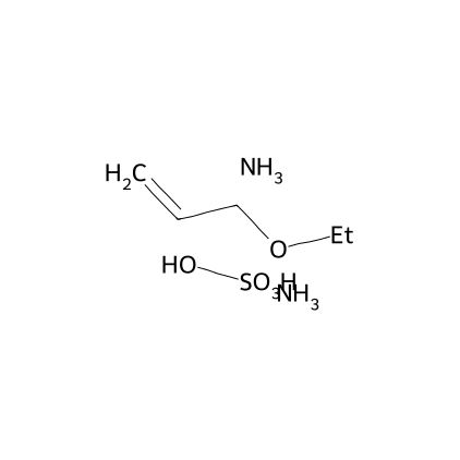 N.N.O=S(=O)(O)O.[CH2]COCC=C